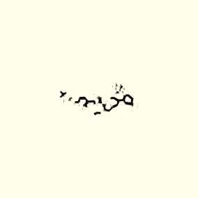 C=CC[C@H]1Cc2cc(-c3cc(Cl)ccc3-n3cnnn3)cc(=O)n2[C@@H]1c1[nH]c(-c2ccc(NC(=O)OC(C)(C)C)nc2F)nc1F